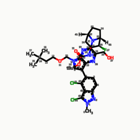 Cn1nc2ccc(-c3cn(COCC[Si](C)(C)C)c4nc(N5[C@H]6CC[C@@H]5[C@@H](F)[C@@H](NC(=O)OC(C)(C)C)C6)c(CO)nc34)c(Cl)c2c1Cl